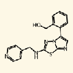 OCc1ccccc1-c1cnc2sc(NCc3ccncc3)nn12